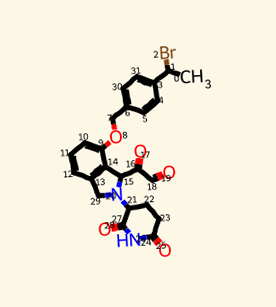 CC(Br)c1ccc(COc2cccc3c2C(C(=O)C=O)N(C2CCC(=O)NC2=O)C3)cc1